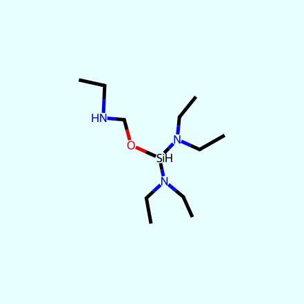 CCNCO[SiH](N(CC)CC)N(CC)CC